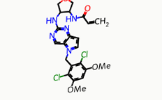 C=CC(=O)NC1COCC1Nc1ncc2c(ccn2Cc2c(Cl)c(OC)cc(OC)c2Cl)n1